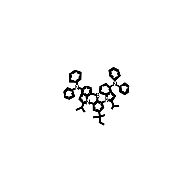 CCC(C)(C)c1cc2c3c(c1)-n1c(C(C)C)cc4c(N(c5ccccc5)c5ccccc5)ccc(c41)B3c1ccc(N(c3ccccc3)c3ccccc3)c3cc(C(C)C)n-2c13